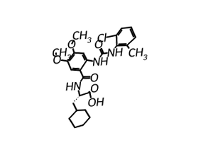 COc1cc(NC(=O)Nc2c(C)cccc2Cl)c(C(=O)N[C@@H](CC2CCCCC2)C(=O)O)cc1OC